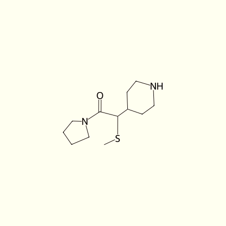 CSC(C(=O)N1CCCC1)C1CCNCC1